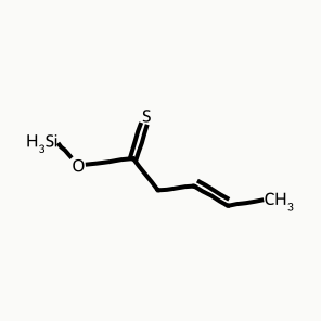 CC=CCC(=S)O[SiH3]